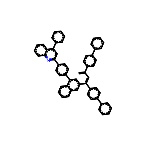 C=C(/C=C(/c1ccc(-c2ccccc2)cc1)c1cc(-c2ccc(-c3cc(-c4ccccc4)c4ccccc4n3)cc2)c2ccccc2c1)c1ccc(-c2ccccc2)cc1